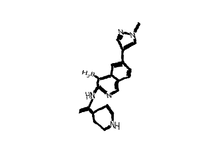 Bc1c(NC(=C)C2CCNCC2)ncc2ccc(-c3cnn(C)c3)cc12